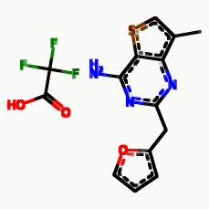 Cc1csc2c(N)nc(Cc3ccco3)nc12.O=C(O)C(F)(F)F